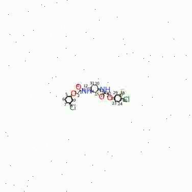 O=C(COc1cccc(Cl)c1)NC[C@H]1CC[C@H](NC(=O)COc2ccc(Cl)c(F)c2)CC1